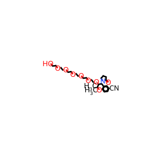 CC1(C)Oc2ccc(C#N)cc2[C@@H](N2CCCC2=O)[C@@H]1OCCOCCOCCOCCOCCOCCO